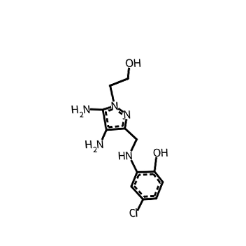 Nc1c(CNc2cc(Cl)ccc2O)nn(CCO)c1N